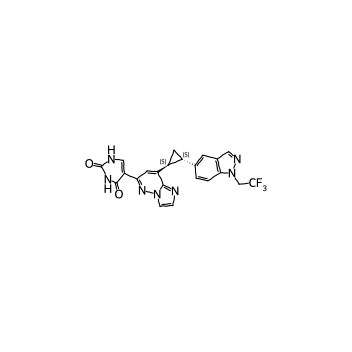 O=c1[nH]cc(-c2cc([C@H]3C[C@@H]3c3ccc4c(cnn4CC(F)(F)F)c3)c3nccn3n2)c(=O)[nH]1